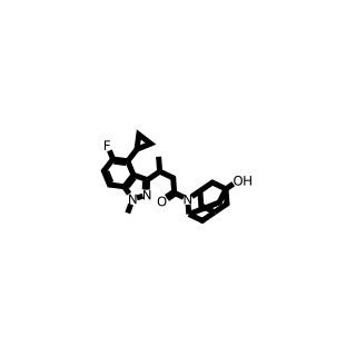 CC(CC(=O)N1C2CC3CC1CC(O)(C3)C2)c1nn(C)c2ccc(F)c(C3CC3)c12